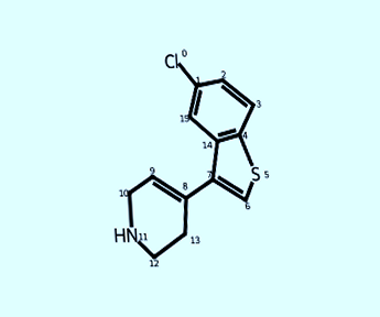 Clc1ccc2scc(C3=CCNCC3)c2c1